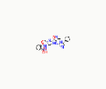 Cc1nc(-c2onc(C)c2Nc2cncc(C3=CCCCC3)n2)ccc1NC(=O)[C@H]1CCCC[C@@H]1C(=O)O